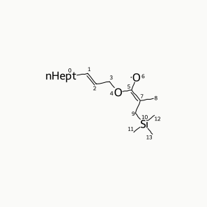 CCCCCCCC=CCOC([O])=C(C)C[Si](C)(C)C